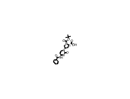 CC(C)(C)OC(=O)N1C[C@@H](n2ccc(NC(=O)c3ccccc3)nc2=O)C[C@H]1C(=O)O